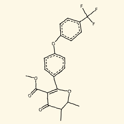 COC(=O)C1=C(c2ccc(Oc3ccc(C(F)(F)F)cc3)cc2)OC(C)C(C)C1=O